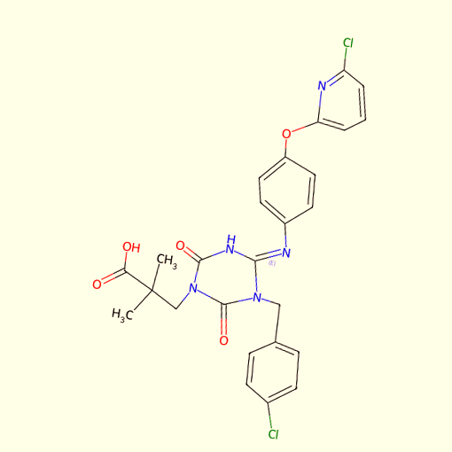 CC(C)(Cn1c(=O)[nH]/c(=N\c2ccc(Oc3cccc(Cl)n3)cc2)n(Cc2ccc(Cl)cc2)c1=O)C(=O)O